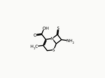 CC1=C(C(=O)O)N2C(=S)C(N)C2SC1